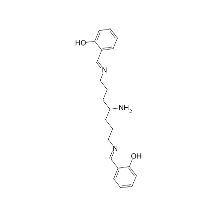 NC(CCCN=Cc1ccccc1O)CCCN=Cc1ccccc1O